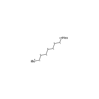 CCCCCCCCCCCCCC(C)CC